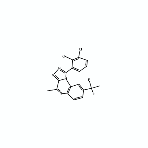 Cc1nc2ccc(C(F)(F)F)cc2n2c(-c3cccc(Cl)c3Cl)nnc12